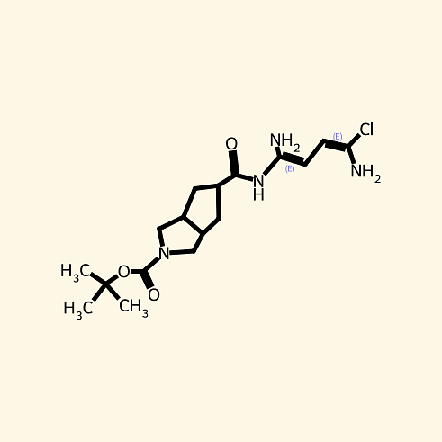 CC(C)(C)OC(=O)N1CC2CC(C(=O)N/C(N)=C/C=C(\N)Cl)CC2C1